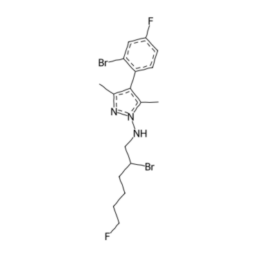 Cc1nn(NCC(Br)CCCCF)c(C)c1-c1ccc(F)cc1Br